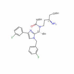 CNC(=O)N(CC[C@H](N)COC)[C@@H](c1nc(-c2cccc(F)c2)cn1Cc1cccc(F)c1)C(C)(C)C